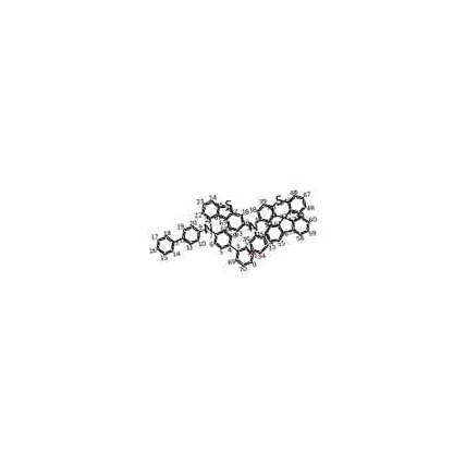 c1ccc(-c2ccc(N(c3ccc(-c4ccccc4)cc3)c3cccc4sc5cc(N(c6ccccc6)c6ccc7c(c6)C6(c8ccccc8S7)c7ccccc7-c7ccccc76)ccc5c34)cc2)cc1